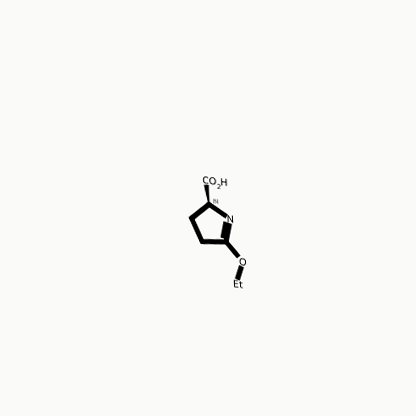 CCOC1=N[C@H](C(=O)O)CC1